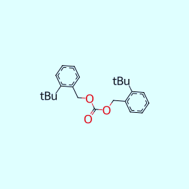 CC(C)(C)c1ccccc1COC(=O)OCc1ccccc1C(C)(C)C